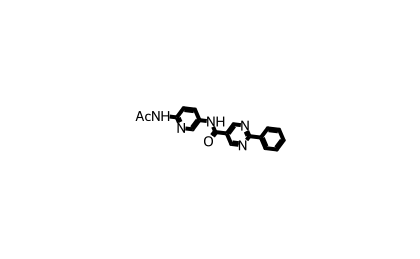 CC(=O)Nc1ccc(NC(=O)c2cnc(-c3ccccc3)nc2)cn1